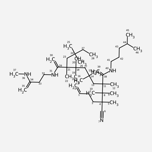 C=CCCC(C)(C#N)C(C)(C)C(C)(CC(C)(C)CC(C)(C)C(C)(CC(C)(C)CC)C(=C)NCCC(=C)NC)C(=C)NCCCC(C)C